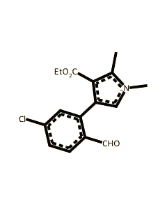 CCOC(=O)c1c(-c2cc(Cl)ccc2C=O)cn(C)c1C